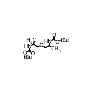 CC(COCC(C)NC(=O)OC(C)(C)C)NC(=O)OC(C)(C)C